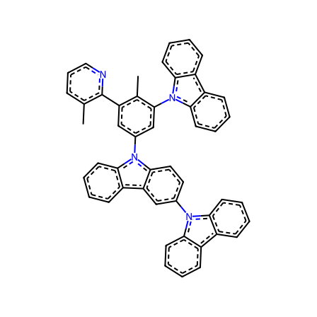 Cc1cccnc1-c1cc(-n2c3ccccc3c3cc(-n4c5ccccc5c5ccccc54)ccc32)cc(-n2c3ccccc3c3ccccc32)c1C